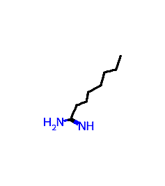 CCCCCCCC(=N)N